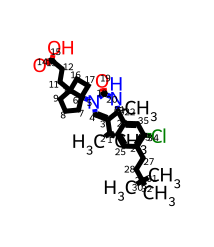 CC(C)C1=CN(C23CCCC2(CCC(=O)O)CC3)C(=O)N[C@@]1(C)c1ccc(CCC(C)(C)C)c(Cl)c1